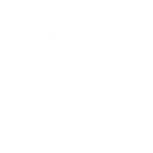 CCNCCCOc1cccc2c3ccccc3n(C)c12